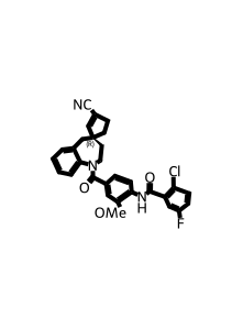 COc1cc(C(=O)N2CC[C@]3(C=C(C#N)CC3)Cc3ccccc32)ccc1NC(=O)c1cc(F)ccc1Cl